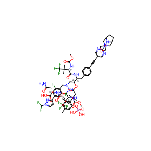 COC(=O)N[C@H](C(=O)N[C@@H](Cc1ccc(C#Cc2cnc(N3CC4CCC(C3)N4C3COC3)nc2)cc1)[C@H](CN(Cc1c(F)cc(-c2ccn(C(F)F)n2)cc1F)NC(=O)[C@@H](NC(=O)OC)C(C)(C)C(F)(F)F)OC(=O)CC(C)(C)c1c(CC(=O)N[C@@H](CC(N)=O)C(=O)O)cc(C)cc1OP(=O)(O)O)C(C)(C)C(F)(F)F